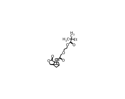 CCC(C)(C)C(=O)OCCOCC(=O)OC1C2CC3C1OC(=O)C3(C#N)C2